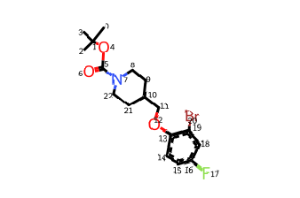 CC(C)(C)OC(=O)N1CCC(COc2ccc(F)cc2Br)CC1